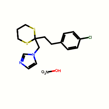 Clc1ccc(CCC2(Cn3ccnc3)SCCCS2)cc1.O=[N+]([O-])O